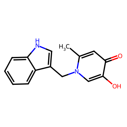 Cc1cc(=O)c(O)cn1Cc1c[nH]c2ccccc12